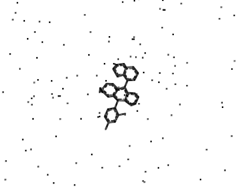 Cc1ccc(-c2c3ccccc3c(-c3cccc4ccccc34)c3ccncc23)c(C)c1